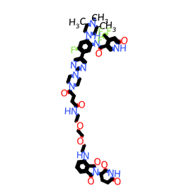 C[C@@H]1CN(c2cc(F)c(-c3cnc(N4CCN(C(=O)CCC(=O)NCCOCCOCCNc5cccc6c5C(=O)N(C5CCC(=O)NC5=O)C6=O)CC4)nc3)cc2NC(=O)c2c[nH]c(=O)cc2C(F)(F)F)C[C@H](C)N1C